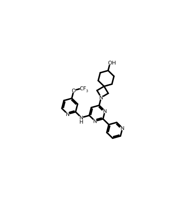 OC1CCC2(CC1)CN(c1cc(Nc3cc(OC(F)(F)F)ccn3)nc(-c3cccnc3)n1)C2